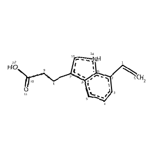 C=Cc1cccc2c(CCC(=O)O)c[nH]c12